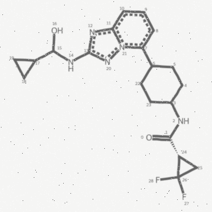 O=C(NC1CCC(c2cccc3nc(NC(O)C4CC4)nn23)CC1)[C@@H]1CC1(F)F